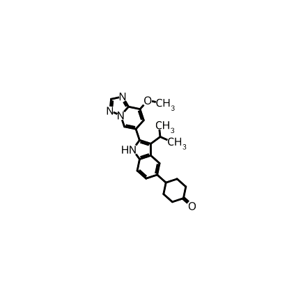 COc1cc(-c2[nH]c3ccc(C4CCC(=O)CC4)cc3c2C(C)C)cn2ncnc12